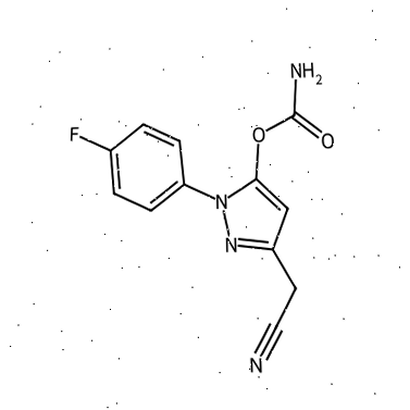 N#CCc1cc(OC(N)=O)n(-c2ccc(F)cc2)n1